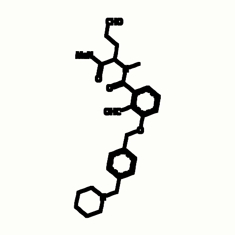 CNC(=O)C(CCC=O)N(C)C(=O)c1cccc(OCc2ccc(CN3CCCCC3)cc2)c1C=O